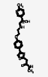 CNC(=O)Cc1nc(-c2ccc(OCCNC[C@H](O)c3ccc(C)nc3)cc2)co1